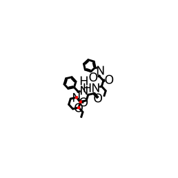 CCOC(=O)/N=C(\NC(CC1CCCCC1)C(=O)NC(CC)C(=O)c1nc2ccccc2o1)c1ccccc1